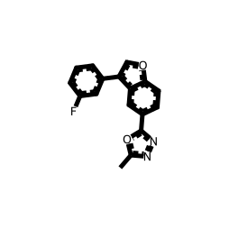 Cc1nnc(-c2ccc3occ(-c4cccc(F)c4)c3c2)o1